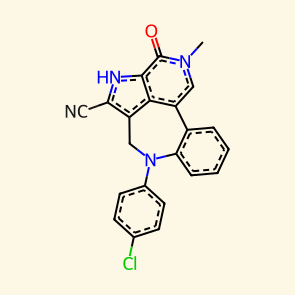 Cn1cc2c3c(c(C#N)[nH]c3c1=O)CN(c1ccc(Cl)cc1)c1ccccc1-2